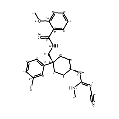 CN/C(=N\C#N)N[C@H]1CC[C@](CNC(=O)c2ccccc2OC)(c2cccc(F)c2)CC1